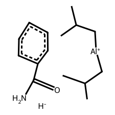 CC(C)[CH2][Al+][CH2]C(C)C.NC(=O)c1ccccc1.[H-]